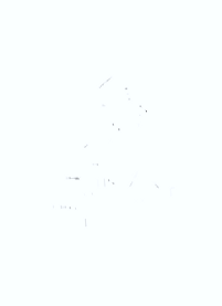 O=C(OC(=O)C(F)(F)F)c1ccc(-n2cnc3ccccc32)cc1Nc1ccc(F)cc1